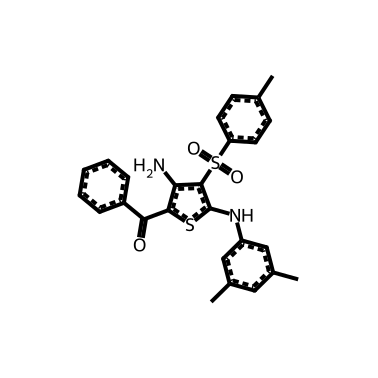 Cc1ccc(S(=O)(=O)c2c(Nc3cc(C)cc(C)c3)sc(C(=O)c3ccccc3)c2N)cc1